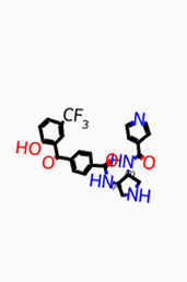 O=C(N[C@@H]1CNC[C@H]1NC(=O)c1ccc(C(=O)c2cc(C(F)(F)F)ccc2O)cc1)c1ccncc1